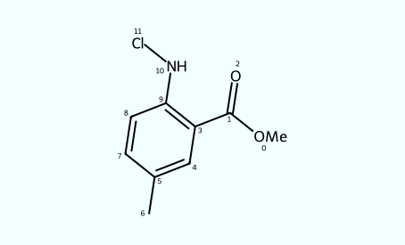 COC(=O)c1cc(C)ccc1NCl